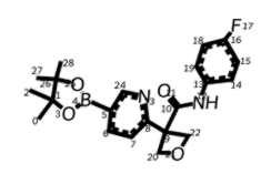 CC1(C)OB(c2ccc(C3(C(=O)Nc4ccc(F)cc4)COC3)nc2)OC1(C)C